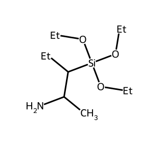 CCO[Si](OCC)(OCC)C(CC)C(C)N